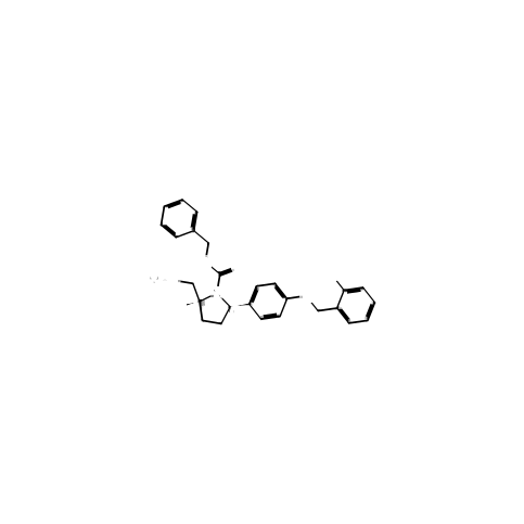 COC[C@@]1(C(=O)O)CC[C@H](c2ccc(OCc3ccccc3F)cc2)N1C(=O)OCc1ccccc1